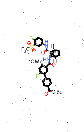 COc1cc(F)c(-c2ccc(C(=O)OCC(C)C)cc2)cc1C(=O)N[C@H]1[C@@H](C(=O)Nc2ccc(F)c(S(=O)(=O)C(F)(F)F)c2)[C@@H]2C=C[C@H]1C2